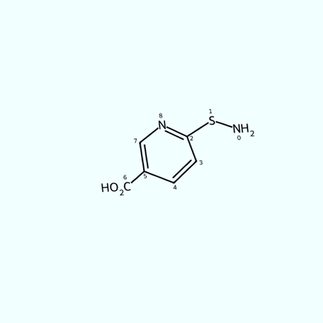 NSc1ccc(C(=O)O)cn1